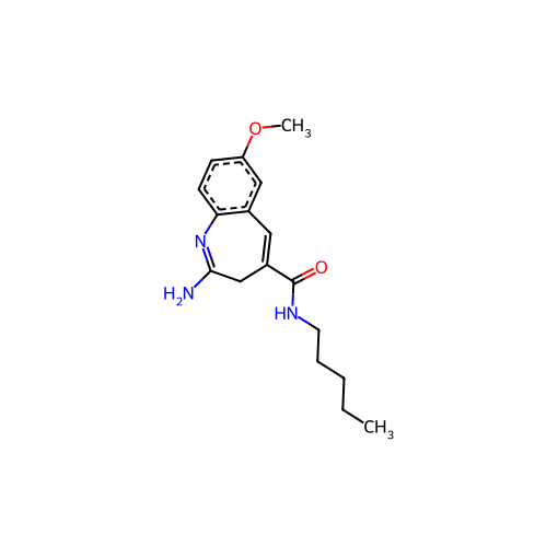 CCCCCNC(=O)C1=Cc2cc(OC)ccc2N=C(N)C1